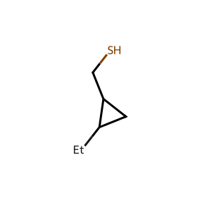 CCC1CC1CS